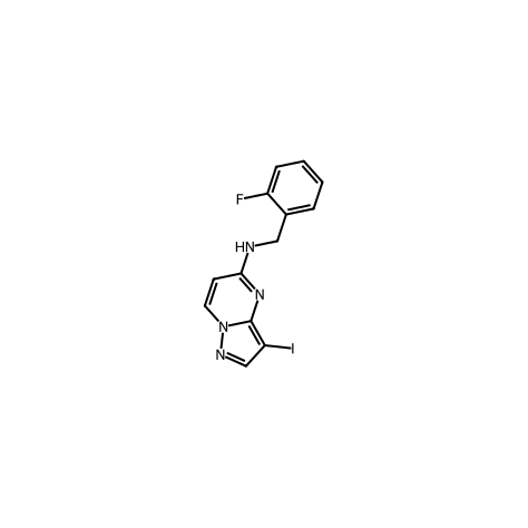 Fc1ccccc1CNc1ccn2ncc(I)c2n1